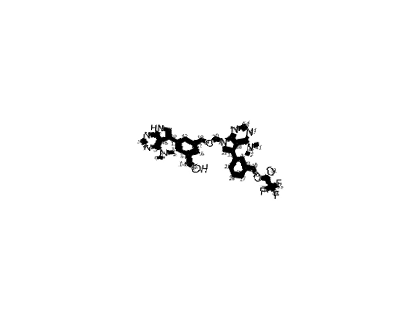 CN(C)c1ncnc2[nH]cc(-c3cc(CO)cc(COCn4cc(-c5cccc(COC(=O)C(F)(F)F)c5)c5c(N(C)C)ncnc54)c3)c12